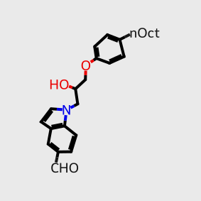 CCCCCCCCc1ccc(OCC(O)Cn2ccc3cc(C=O)ccc32)cc1